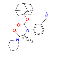 C[C@@H](C(=O)N1CCCCC1)N(C(=O)OC12CC3CC(CC(C3)C1)C2)c1cccc(C#N)c1